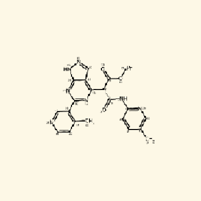 Cc1ccc(NC(=O)[C@@H](C(=O)OC(C)C)c2nc(-c3cnccc3C)nc3[nH]ncc23)nc1